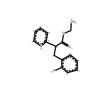 CCOC(=O)C(Cc1ccccc1F)c1ccccn1